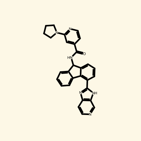 O=C(NC1c2ccccc2-c2c(-c3nc4ccncc4[nH]3)cccc21)c1ccnc(N2CCCC2)c1